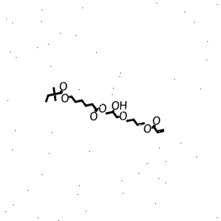 C=CC(=O)OCCCCOCC(O)COC(=O)CCCCCOC(=O)C(C)(C)CC